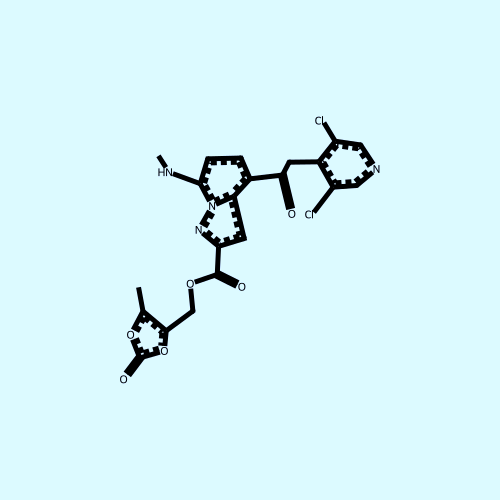 CNc1ccc(C(=O)Cc2c(Cl)cncc2Cl)c2cc(C(=O)OCc3oc(=O)oc3C)nn12